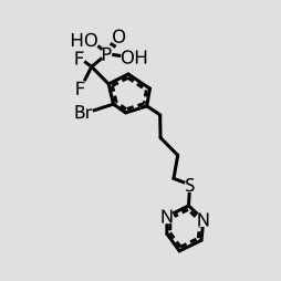 O=P(O)(O)C(F)(F)c1ccc(CCCCSc2ncccn2)cc1Br